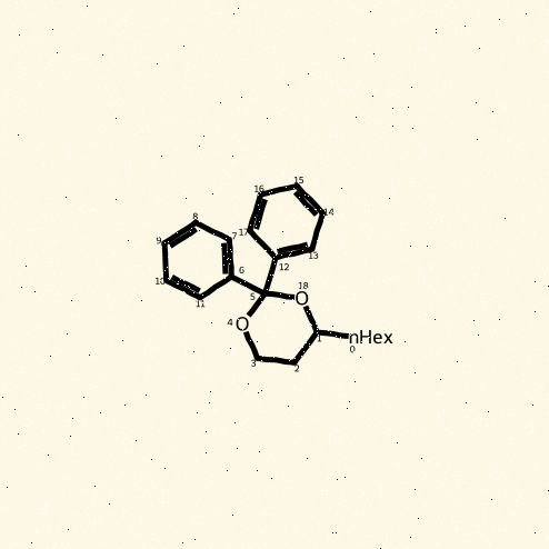 CCCCCCC1CCOC(c2cc[c]cc2)(c2ccccc2)O1